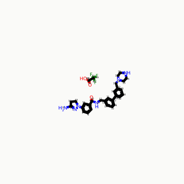 NC1=NN(c2cccc(C(=O)NCc3cccc(-c4cccc(CN5CCNCC5)c4)c3)c2)CC1.O=C(O)C(F)(F)F